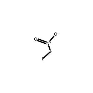 O=[N+]([O-])[I]I